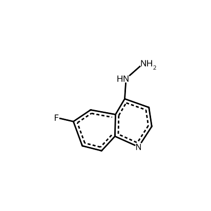 NNc1ccnc2ccc(F)cc12